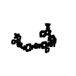 COc1cc(N2CC(N3CCN(CC4CN(C(=O)OC(C)(C)C)C4)CC3)C2)ccc1Nc1nccc(-c2cn(C3CC3)c3ccccc23)n1